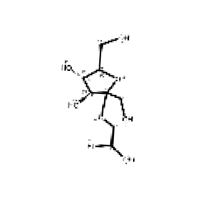 CCCCC(CC)COC1(CO)O[C@H](CO)[C@@H](O)[C@@H]1O